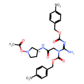 NC(=NC(=O)OCc1ccc([N+](=O)[O-])cc1)N(CC(=O)N[C@H]1CCN(OC(=O)C(F)(F)F)C1)C(=O)OCc1ccc([N+](=O)[O-])cc1